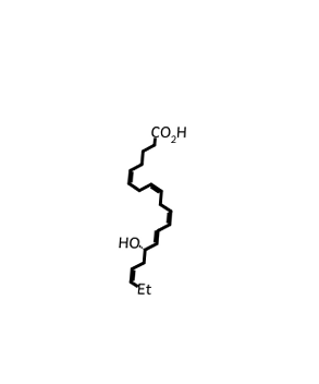 CC/C=C\C[C@H](O)/C=C/C=C\C/C=C\C/C=C\CCCC(=O)O